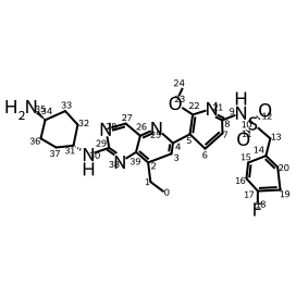 CCc1cc(-c2ccc(NS(=O)(=O)Cc3ccc(F)cc3)nc2OC)nc2cnc(N[C@H]3CC[C@H](N)CC3)nc12